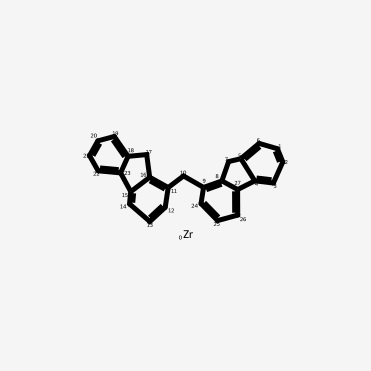 [Zr].c1ccc2c(c1)Cc1c(Cc3cccc4c3Cc3ccccc3-4)cccc1-2